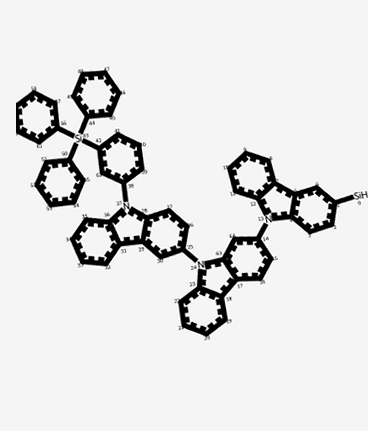 [SiH3]c1ccc2c(c1)c1ccccc1n2-c1ccc2c3ccccc3n(-c3ccc4c(c3)c3ccccc3n4-c3cccc([Si](c4ccccc4)(c4ccccc4)c4ccccc4)c3)c2c1